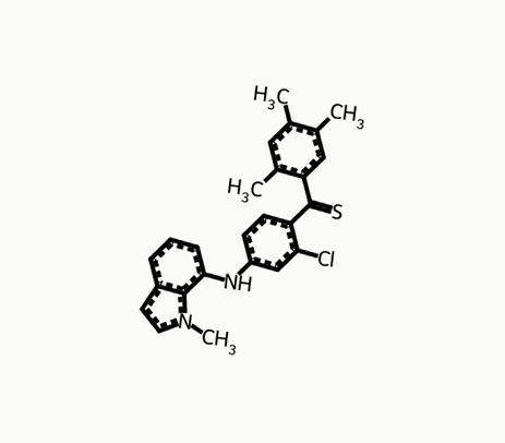 Cc1cc(C)c(C(=S)c2ccc(Nc3cccc4ccn(C)c34)cc2Cl)cc1C